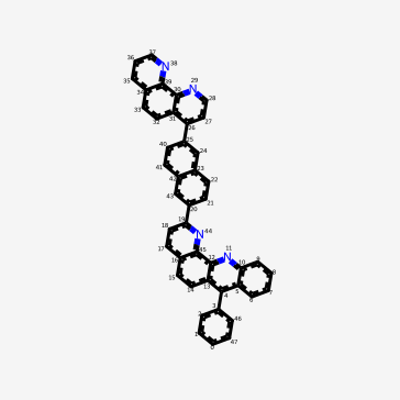 c1ccc(-c2c3ccccc3nc3c2ccc2ccc(-c4ccc5cc(-c6ccnc7c6ccc6cccnc67)ccc5c4)nc23)cc1